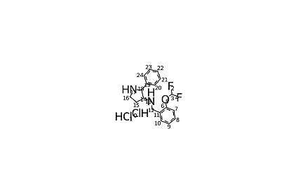 Cl.Cl.FC(F)Oc1ccccc1CNC1CCNC1c1ccccc1